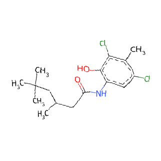 Cc1c(Cl)cc(NC(=O)CC(C)CC(C)(C)C)c(O)c1Cl